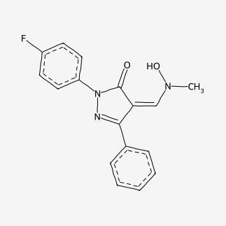 CN(O)C=C1C(=O)N(c2ccc(F)cc2)N=C1c1ccccc1